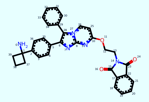 NC1(c2ccc(-c3nc4nc(OCCN5C(=O)c6ccccc6C5=O)ccn4c3-c3ccccc3)cc2)CCC1